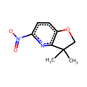 CC1(C)COc2ccc([N+](=O)[O-])nc21